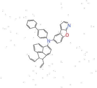 C=CC1c2ccc(N(c3ccc(-c4ccccc4)cc3)c3ccc4oc5ncccc5c4c3)c3cccc(c23)C1/C=C\C